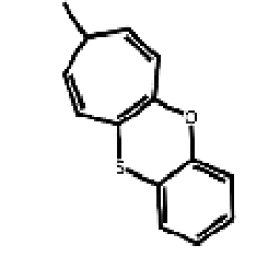 CC1C=CC2=C(C=C1)Sc1ccccc1O2